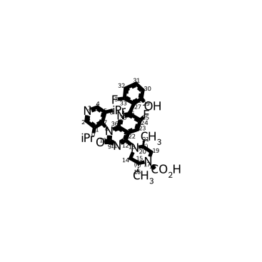 CC(C)c1cncc(C(C)C)c1-n1c(=O)nc(N2C[C@@H](C)N(C(=O)O)C[C@@H]2C)c2cc(F)c(-c3c(O)cccc3F)nc21